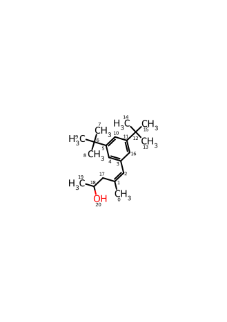 CC(=Cc1cc(C(C)(C)C)cc(C(C)(C)C)c1)CC(C)O